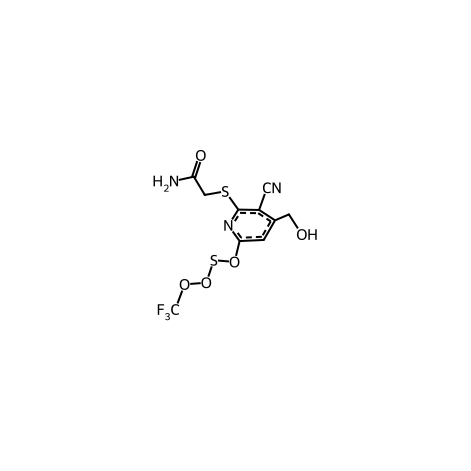 N#Cc1c(CO)cc(OSOOC(F)(F)F)nc1SCC(N)=O